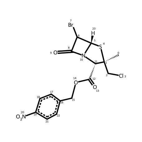 C[C@@]1(CCl)S[C@H]2C(Br)C(=O)N2[C@H]1C(=O)OCc1ccc([N+](=O)[O-])cc1